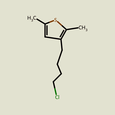 Cc1cc(CCCCCl)c(C)s1